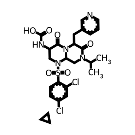 C1CC1.CC(C)N1CC2N(C(=O)C(NC(=O)O)CN2S(=O)(=O)c2ccc(Cl)cc2Cl)C(Cc2cccnc2)C1=O